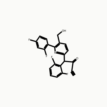 C#CC(=O)C(c1ccc(CO)c(-c2ccc(F)cc2F)n1)c1c(F)cccc1F